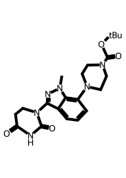 Cn1nc(N2CCC(=O)NC2=O)c2cccc(N3CCN(C(=O)OC(C)(C)C)CC3)c21